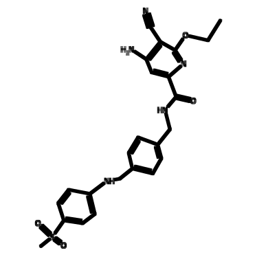 CCOc1nc(C(=O)NCc2ccc(CNc3ccc(S(C)(=O)=O)cc3)cc2)cc(N)c1C#N